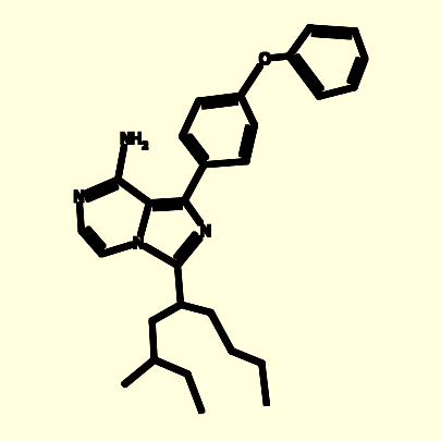 CCCCC(CC(C)CC)c1nc(-c2ccc(Oc3ccccc3)cc2)c2c(N)nccn12